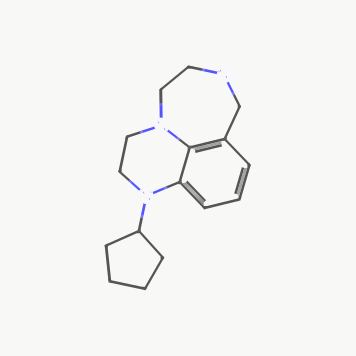 c1cc2c3c(c1)N(C1CCCC1)CCN3CCNC2